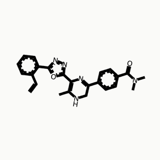 C=Cc1ccccc1-c1nnc(C2=C(C)NCC(c3ccc(C(=O)N(C)C)cc3)=N2)o1